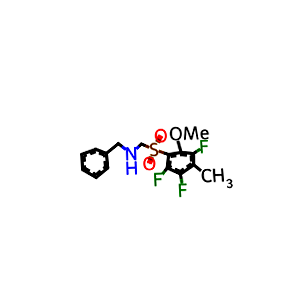 COc1c(F)c(C)c(F)c(F)c1S(=O)(=O)CNCc1ccccc1